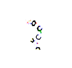 CS(=O)(=O)Nc1ccc(Oc2ccc(CN3CCC(N(C(=O)Nc4ccsc4)c4ccsc4)CC3)cn2)cc1.Cl